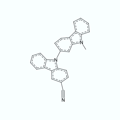 Cn1c2ccccc2c2ccc(-n3c4ccccc4c4cc(C#N)ccc43)cc21